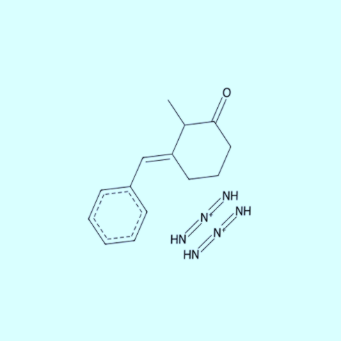 CC1C(=O)CCCC1=Cc1ccccc1.N=[N+]=N.N=[N+]=N